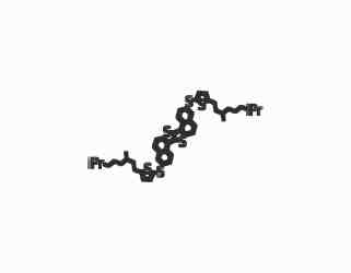 CC(C)CCCC(C)CCc1ccc(Sc2ccc3c(ccc4sc5c(sc6ccc7cc(Sc8ccc(CCC(C)CCCC(C)C)s8)ccc7c65)c43)c2)s1